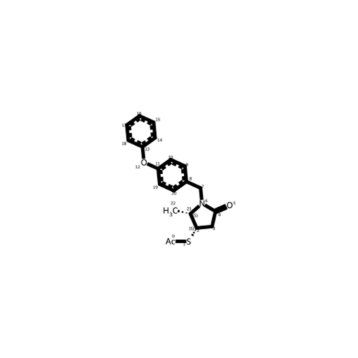 CC(=O)S[C@H]1CC(=O)N(Cc2ccc(Oc3ccccc3)cc2)[C@H]1C